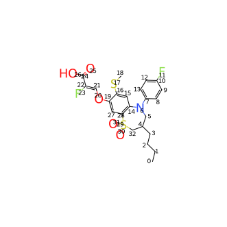 CCCCC1CN(c2ccc(F)cc2)c2cc(SC)c(O/C=C(\F)C(=O)O)cc2S(=O)(=O)C1